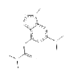 CC(C)n1nnc2c(OC(=O)N(C)C)nc(N(C)C)nc21